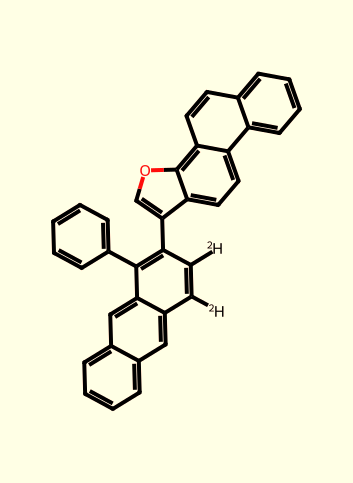 [2H]c1c(-c2coc3c2ccc2c4ccccc4ccc23)c(-c2ccccc2)c2cc3ccccc3cc2c1[2H]